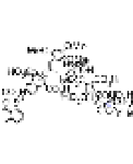 CCCCCCC(=O)C(=O)O.COc1cc(OC)c(OC)cc1C=C(C)C(=O)O.Cc1ccc(P(=O)(O)O)cc1.O=C(O)/C=C(/Cl)C(Cl)(Cl)Cl.O=C(O)C1=CCC(C(=O)O)c2ccccc21.O=C(O)C1C(C(=O)O)C(C(=O)O)C1C(=O)O.O=C(O)CSc1cccc2cccc(Cl)c12